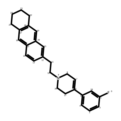 Fc1cccc(C2=CCN(CCc3ccc4cc5c(cc4c3)CCCC5)CC2)c1